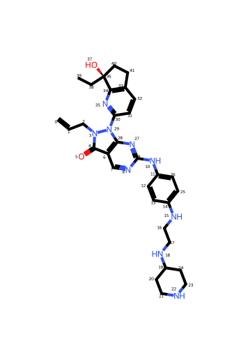 C=CCn1c(=O)c2cnc(Nc3ccc(NCCNC4CCNCC4)cc3)nc2n1-c1ccc2c(n1)[C@](O)(CC)CC2